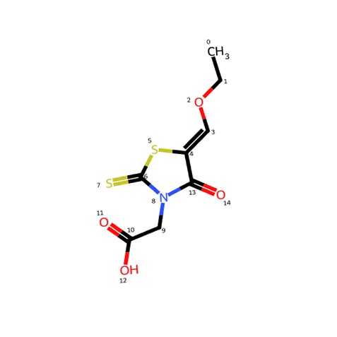 CCOC=C1SC(=S)N(CC(=O)O)C1=O